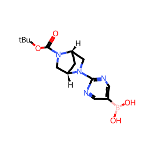 CC(C)(C)OC(=O)N1C[C@@H]2C[C@H]1CN2c1ncc(B(O)O)cn1